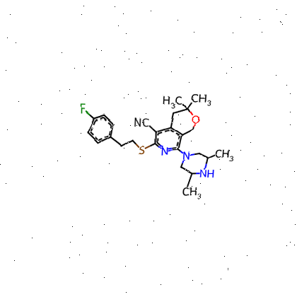 CC1CN(c2nc(SCCc3ccc(F)cc3)c(C#N)c3c2COC(C)(C)C3)CC(C)N1